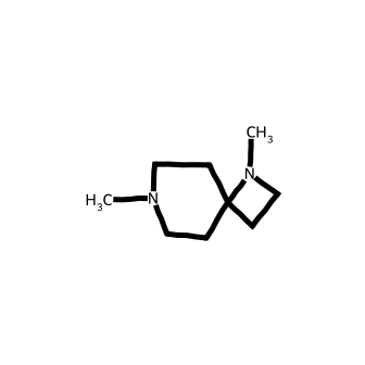 CN1CCC2(CC1)CCN2C